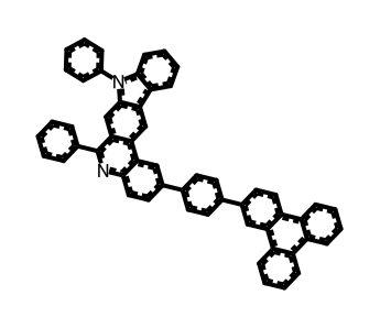 c1ccc(-c2nc3ccc(-c4ccc(-c5ccc6c7ccccc7c7ccccc7c6c5)cc4)cc3c3cc4c5ccccc5n(-c5ccccc5)c4cc23)cc1